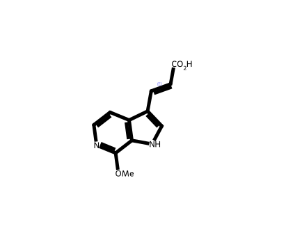 COc1nccc2c(/C=C/C(=O)O)c[nH]c12